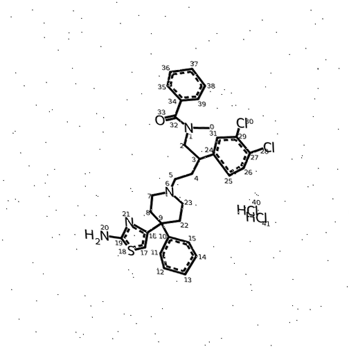 CN(CC(CCN1CCC(c2ccccc2)(c2csc(N)n2)CC1)c1ccc(Cl)c(Cl)c1)C(=O)c1ccccc1.Cl.Cl